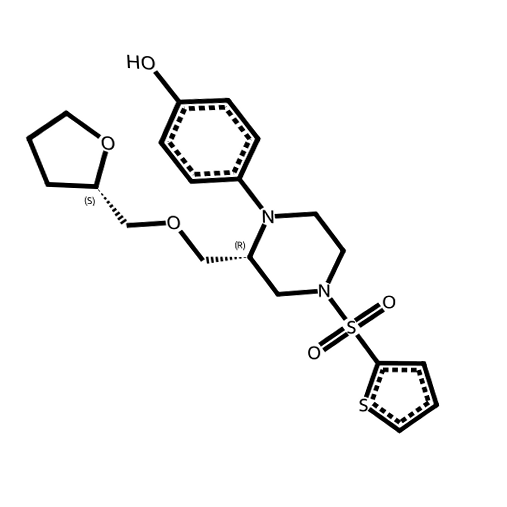 O=S(=O)(c1cccs1)N1CCN(c2ccc(O)cc2)[C@@H](COC[C@@H]2CCCO2)C1